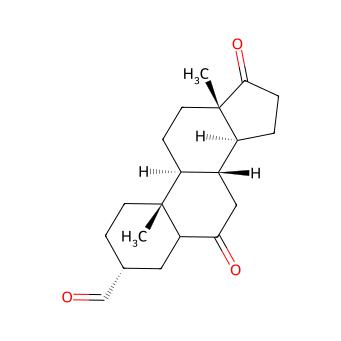 C[C@]12CC[C@@H](C=O)CC1C(=O)C[C@@H]1[C@@H]2CC[C@]2(C)C(=O)CC[C@@H]12